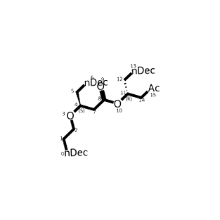 CCCCCCCCCCCCO[C@@H](CCCCCCCCCCC)CC(=O)O[C@H](CCCCCCCCCCC)CC(C)=O